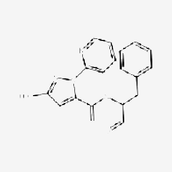 Cc1cc(C(=O)NC(C=O)Cc2ccccc2)n(-c2ccccn2)n1